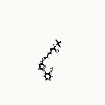 CC(C)(C)OC(=O)CCCCOc1ccn(-c2ccccc2Cl)n1